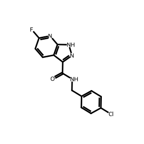 O=C(NCc1ccc(Cl)cc1)c1n[nH]c2nc(F)ccc12